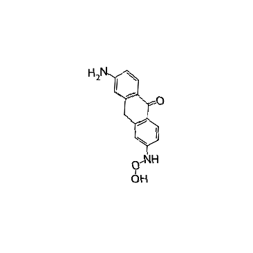 Nc1ccc2c(c1)Cc1cc(NOO)ccc1C2=O